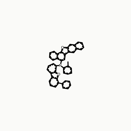 Cc1ccccc1N(c1cc2c3cc4ccccc4cc3oc2c2ccccc12)c1cccc2c1oc1c(-c3ccccc3)cccc12